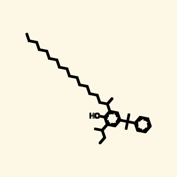 CCCCCCCCCCCCCCCCC(C)c1cc(C(C)(C)c2ccccc2)cc(C(C)CC)c1O